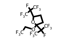 FC(F)(F)COC1(C(F)(C(F)(F)F)C(F)(F)F)CCC(C(F)(C(F)(F)F)C(F)(F)F)O1